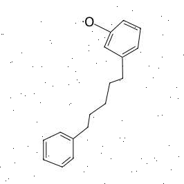 [O]c1cccc(CCCCCc2ccccc2)c1